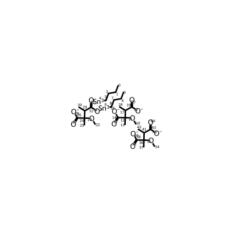 CCC[CH2][Sn+3].CCC[CH2][Sn+3].COC(C)(C(=O)[O-])C(C)C(=O)[O-].COC(C)(C(=O)[O-])C(C)C(=O)[O-].COC(C)(C(=O)[O-])C(C)C(=O)[O-]